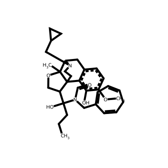 CCCC(O)(C1COC2(C)C3Cc4ccc(OC)c(O)c4C12CCN3CC1CC1)N(C=O)CC1=CC=CCC=C1